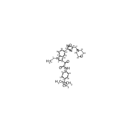 CCn1cc(C(=O)C(=O)Nc2ccc(C(C)(C)C)cc2)c2cc(-c3noc(CN4CCOCC4)n3)ccc21